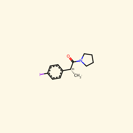 [CH2][C@@H](C(=O)N1CCCC1)c1ccc(I)cc1